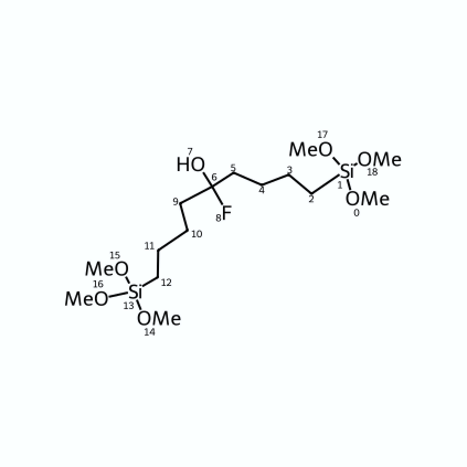 CO[Si](CCCCC(O)(F)CCCC[Si](OC)(OC)OC)(OC)OC